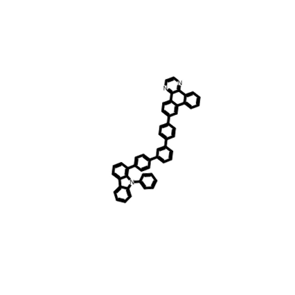 c1ccc(-n2c3ccccc3c3cccc(-c4ccc(-c5cccc(-c6ccc(-c7ccc8c(c7)c7ccccc7c7nccnc87)cc6)c5)cc4)c32)cc1